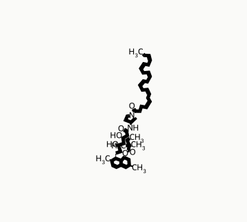 CC/C=C\C/C=C\C/C=C\C/C=C\C/C=C\C/C=C\CCC(=O)N1CC[C@H](NC(=O)C[C@H](O)C[C@@H](O)CC[C@@H]2C3C(=C[C@H](C)CC3OC(=O)C(C)(C)CC)C=C[C@@H]2C)C1